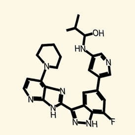 CC(C)C(O)Nc1cncc(-c2cc(F)c3[nH]nc(-c4nc5c(N6CCCCC6)ccnc5[nH]4)c3c2)c1